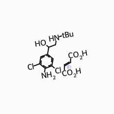 CC(C)(C)NCC(O)c1cc(Cl)c(N)c(Cl)c1.O=C(O)/C=C/C(=O)O